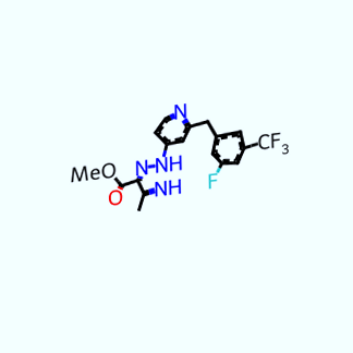 COC(=O)/C(=N/Nc1ccnc(Cc2cc(F)cc(C(F)(F)F)c2)c1)C(C)=N